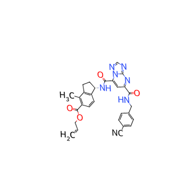 C=CCOC(=O)c1ccc2c(c1C)CC[C@@H]2NC(=O)c1cc(C(=O)NCc2ccc(C#N)cc2)nc2ncnn12